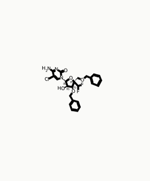 Nc1nc(=O)n([C@@H]2O[C@@](COCc3ccccc3)(C(F)F)[C@@H](OCc3ccccc3)[C@H]2O)cc1Cl